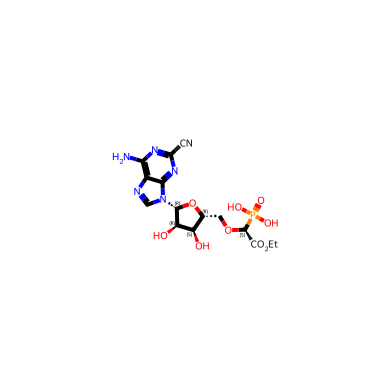 CCOC(=O)[C@@H](OC[C@H]1O[C@@H](n2cnc3c(N)nc(C#N)nc32)[C@H](O)[C@@H]1O)P(=O)(O)O